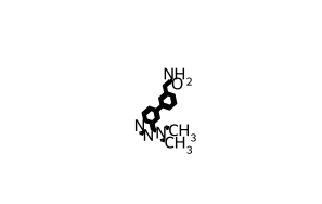 CCN(CC)c1ncnc2ccc(-c3cccc(CC(N)=O)c3)cc12